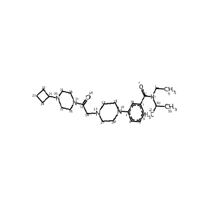 CCN(C(=O)c1cccc(N2CCN(CC(=O)N3CCN(C4CCC4)CC3)CC2)c1)C(C)C